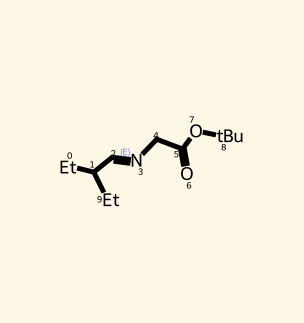 CCC(/C=N/CC(=O)OC(C)(C)C)CC